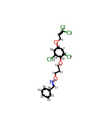 ClC(Cl)=CCOc1cc(Cl)c(OCCCON=Cc2ccccc2)c(Cl)c1